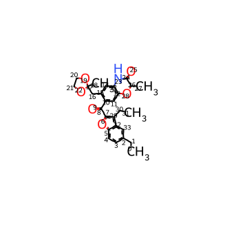 CCc1ccc2oc(C(=O)c3cc4c(cc3CC3(C)OCCO3)NC(=O)C(C)O4)c(CC)c2c1